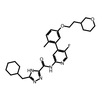 Cc1ccc(OCCC2CCCOC2)cc1-c1cc(NC(=O)c2nnc(CC3CCCCC3)[nH]2)ncc1F